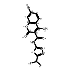 O=C(Nc1nnc(C(F)F)s1)c1c(O)c2ccc(Br)cc2oc1=O